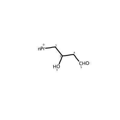 CCCCC(O)C[C]=O